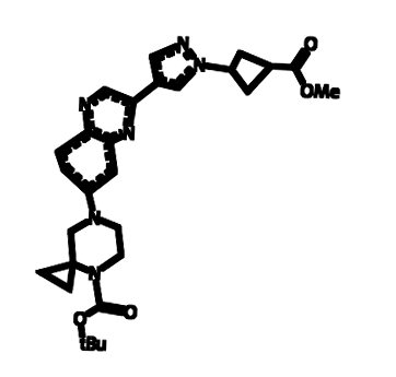 COC(=O)C1CC(n2cc(-c3cnc4ccc(N5CCN(C(=O)OC(C)(C)C)C6(CC6)C5)cc4n3)cn2)C1